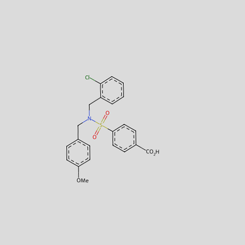 COc1ccc(CN(Cc2ccccc2Cl)S(=O)(=O)c2ccc(C(=O)O)cc2)cc1